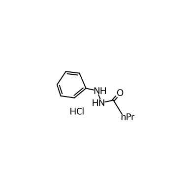 CCCC(=O)NNc1ccccc1.Cl